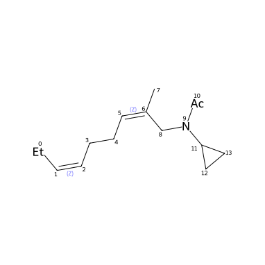 CC/C=C\CC/C=C(/C)CN(C(C)=O)C1CC1